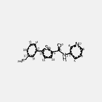 O=C(Nc1cccnc1)c1ccc(-c2cccc(F)c2)s1